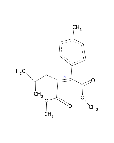 COC(=O)/C(CC(C)C)=C(\C(=O)OC)c1ccc(C)cc1